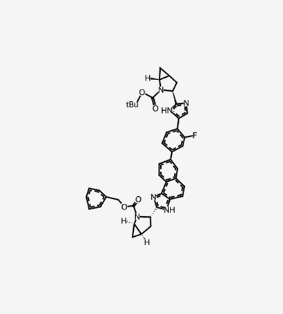 CC(C)(C)OC(=O)N1[C@@H]2CC2C[C@H]1c1ncc(-c2ccc(-c3ccc4c(ccc5[nH]c([C@@H]6C[C@H]7C[C@H]7N6C(=O)OCc6ccccc6)nc54)c3)cc2F)[nH]1